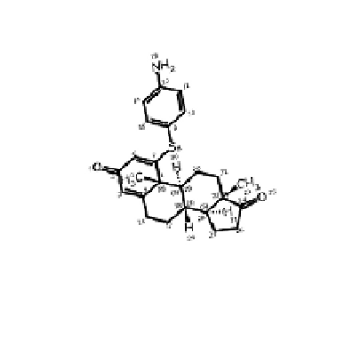 C[C@@]12C(=CC(=O)C=C1Sc1ccc(N)cc1)CC[C@@H]1[C@@H]2CC[C@]2(C)C(=O)CC[C@@H]12